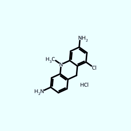 CN1c2cc(N)ccc2Cc2c(Cl)cc(N)cc21.Cl